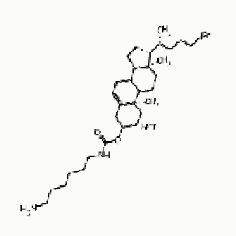 CC(C)CCC[C@@H](C)[C@H]1CCC2C3CC=C4CC(OC(=O)NCCCCCCN)CC[C@]4(C)C3CC[C@@]21C.Cl